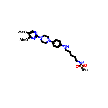 COc1cnc(N2CCN(c3ccc(NCCCCCNS(=O)(=O)C(C)(C)C)cc3)CC2)nc1OC